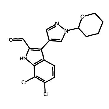 O=Cc1[nH]c2c(Cl)c(Cl)ccc2c1-c1cnn(C2CCCCO2)c1